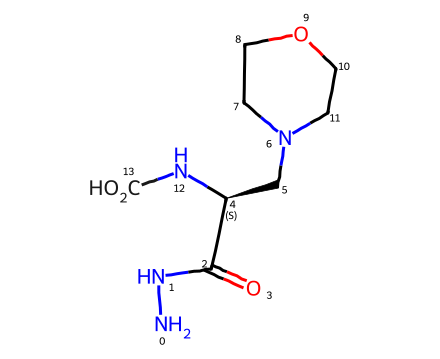 NNC(=O)[C@H](CN1CCOCC1)NC(=O)O